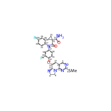 CSc1ncc2c(n1)N1CCN=C1C(Oc1ccc(N(C(=O)C3(C(N)=O)CC3)c3ccc(F)cc3)cc1F)=C2